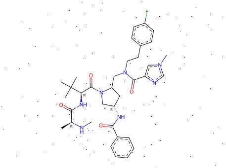 CN[C@@H](C)C(=O)N[C@H](C(=O)N1C[C@@H](NC(=O)c2ccccc2)CC1CN(CCc1ccc(F)cc1)C(=O)c1cn(C)cn1)C(C)(C)C